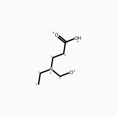 CCN(CCl)CCC(=O)O